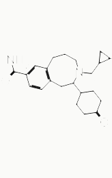 C[C@@H](C1CC1)N1CCCc2cc(C(N)=O)ccc2CC1C1CCC(=O)CC1